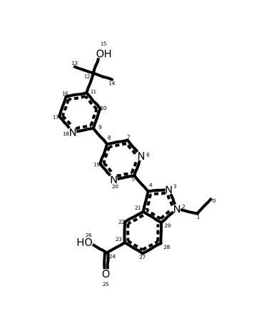 CCn1nc(-c2ncc(-c3cc(C(C)(C)O)ccn3)cn2)c2cc(C(=O)O)ccc21